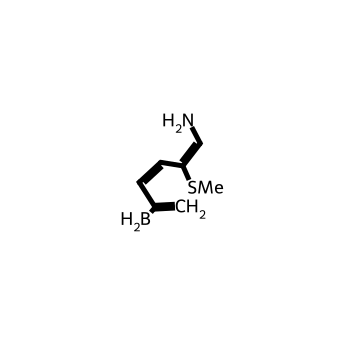 BC(=C)/C=C\C(=C/N)SC